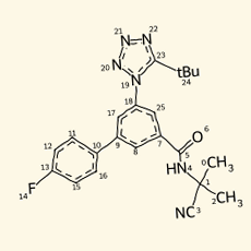 CC(C)(C#N)NC(=O)c1cc(-c2ccc(F)cc2)cc(-n2nnnc2C(C)(C)C)c1